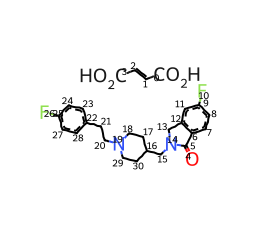 O=C(O)C=CC(=O)O.O=C1c2ccc(F)cc2CN1CC1CCN(CCc2ccc(F)cc2)CC1